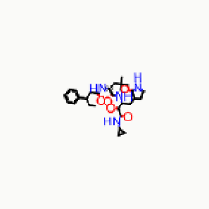 CCC(CC(=O)N[C@@H](CC(C)(C)C)C(=O)NC(CC1CCNC1=O)C(=O)C(=O)NC1CC1)c1ccccc1